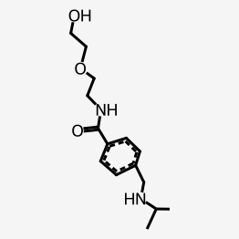 CC(C)NCc1ccc(C(=O)NCCOCCO)cc1